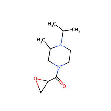 CC(C)N1CCN(C(=O)C2CO2)CC1C